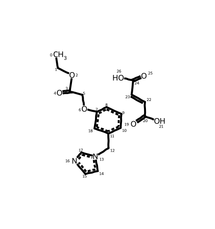 CCOC(=O)COc1cccc(Cn2ccnc2)c1.O=C(O)C=CC(=O)O